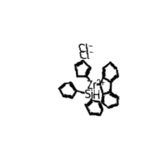 C1=CC[C]([Zr+2]([CH]2c3ccccc3-c3ccccc32)[SiH](c2ccccc2)c2ccccc2)=C1.[Cl-].[Cl-]